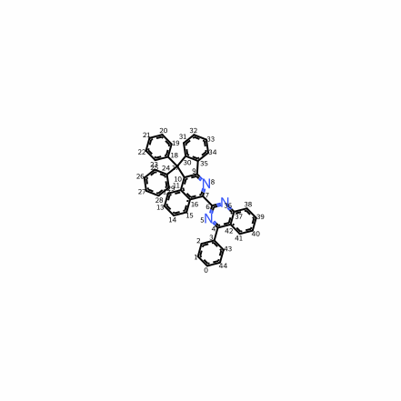 c1ccc(-c2nc(-c3nc4c(c5ccccc35)C(c3ccccc3)(c3ccccc3)c3ccccc3-4)nc3ccccc23)cc1